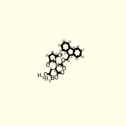 CC(C)C[C@H](C(=O)O)N(C(=O)OCC1c2ccccc2-c2ccccc21)N1C(=O)CCC1=O